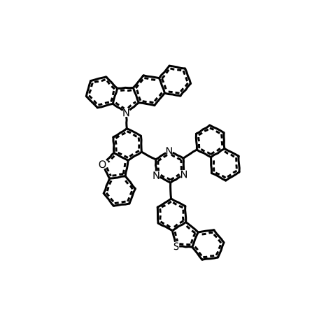 c1ccc2cc3c(cc2c1)c1ccccc1n3-c1cc(-c2nc(-c3ccc4sc5ccccc5c4c3)nc(-c3cccc4ccccc34)n2)c2c(c1)oc1ccccc12